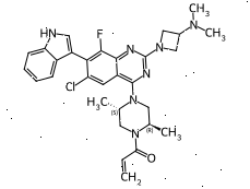 C=CC(=O)N1C[C@H](C)N(c2nc(N3CC(N(C)C)C3)nc3c(F)c(-c4c[nH]c5ccccc45)c(Cl)cc23)C[C@H]1C